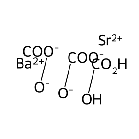 O=C(O)O.O=C([O-])[O-].O=C([O-])[O-].[Ba+2].[Sr+2]